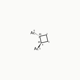 CC(=O)[C@@H]1CC[C@H]1C(C)=O